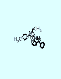 CCc1nc(Nc2ncccc2C(=O)c2ccccc2)nc(N2CCN(C)CC2)n1